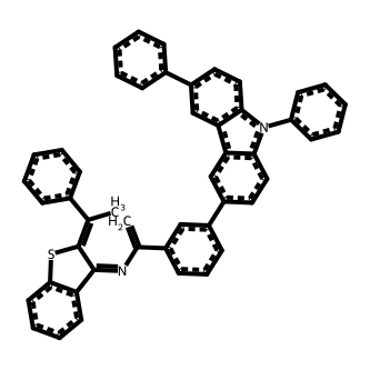 C=C(/N=C1\C(=C(/C)c2ccccc2)Sc2ccccc21)c1cccc(-c2ccc3c(c2)c2cc(-c4ccccc4)ccc2n3-c2ccccc2)c1